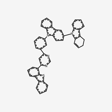 C1=Cc2c(c3ccccc3n2-c2ccc3c(c2)c2ccccc2n3-c2cccc(-c3cc(-c4cccc5c4sc4ccccc45)ncn3)c2)CC1